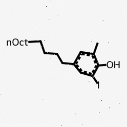 CCCCCCCCCCCCc1cc(C)c(O)c(I)c1